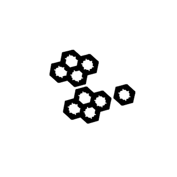 c1cc2ccc3cccc4ccc(c1)c2c34.c1cc2ccc3cccc4ccc(c1)c2c34.c1ccccc1